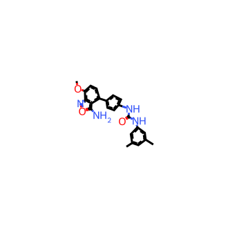 COc1ccc(-c2ccc(NC(=O)Nc3cc(C)cc(C)c3)cc2)c2c(N)onc12